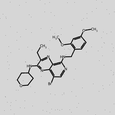 CCc1nc2c(NCc3ccc(OC)cc3OC)ncc(Br)c2nc1NC1CCOCC1